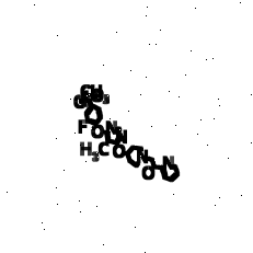 Cc1c(Oc2ccc(S(C)(=O)=O)cc2F)ncnc1OC1CCN(CC(=O)c2ccccn2)CC1